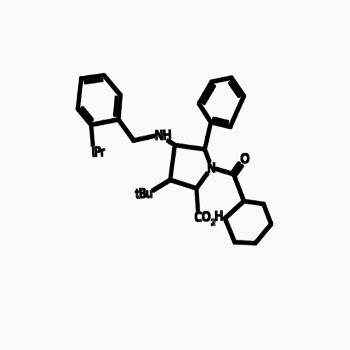 CC(C)c1ccccc1CNC1C(c2ccccc2)N(C(=O)C2CCCCC2)C(C(=O)O)C1C(C)(C)C